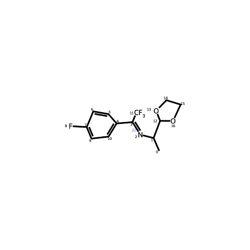 CC(/N=C(/c1ccc(F)cc1)C(F)(F)F)C1OCCO1